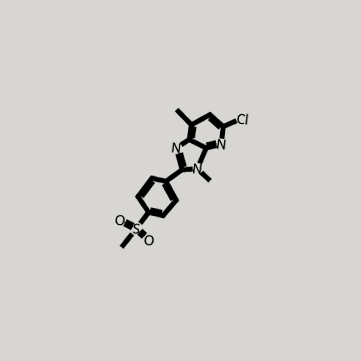 Cc1cc(Cl)nc2c1nc(-c1ccc(S(C)(=O)=O)cc1)n2C